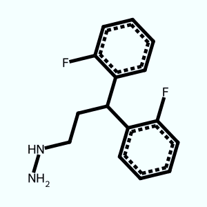 NNCCC(c1ccccc1F)c1ccccc1F